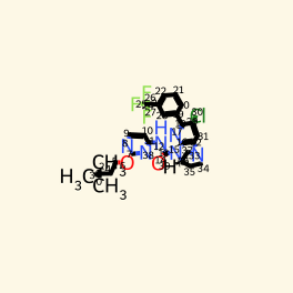 CC(C)(C)CCOc1nccc(NC(=O)N2c3nc(-c4cccc(C(F)(F)F)c4)c(Cl)cc3N3CC[C@H]2C3)n1